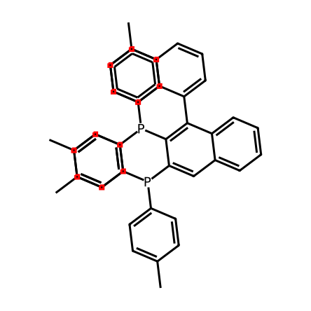 Cc1ccc(P(c2ccc(C)cc2)c2cc3ccccc3c(-c3cccc4ccccc34)c2P(c2ccc(C)cc2)c2ccc(C)cc2)cc1